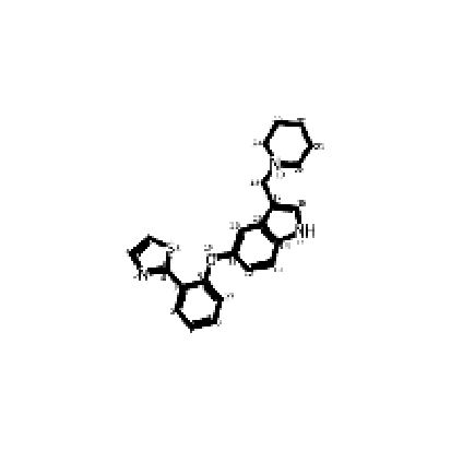 c1ccc(-c2nccs2)c(Oc2ccc3[nH]cc(CN4CCCCC4)c3c2)c1